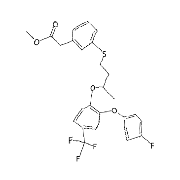 COC(=O)Cc1cccc(SCCC(C)Oc2ccc(C(F)(F)F)cc2Oc2ccc(F)cc2)c1